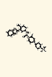 Cc1cc(-c2ccc(S(C)(=O)=O)cc2)ccc1C(=O)Nc1ccc(Cl)c(-c2nc3ccccc3[nH]2)c1